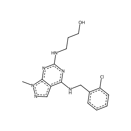 Cn1ncc2c(NCc3ccccc3Cl)nc(NCCCO)nc21